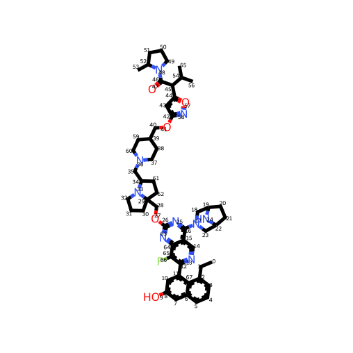 CCc1cccc2cc(O)cc(-c3ncc4c(N5CC6CCC(C5)N6)nc(OCC56CCCN5C(CN5CCC(COc7cc(C(C(=O)N8CCCC8C)C(C)C)on7)CC5)CC6)nc4c3F)c12